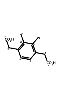 Cc1c(CC(=O)O)ccc(CC(=O)O)c1C